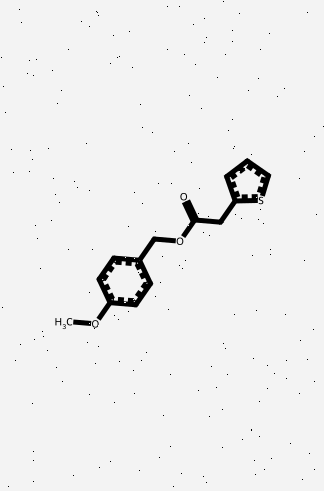 COc1ccc(COC(=O)[CH]c2cccs2)cc1